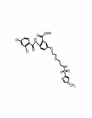 COC(=O)c1cc(OCCOCCNS(=O)(=O)c2cn(C)cn2)ccc1NC(=O)c1ccc(Cl)cc1Cl